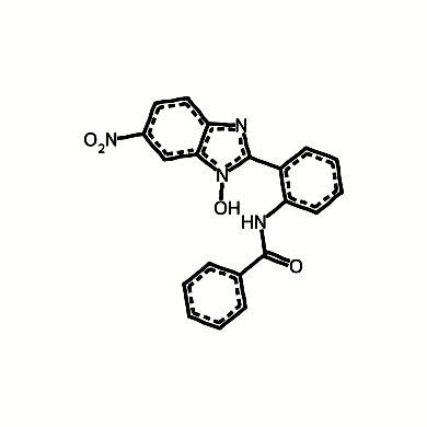 O=C(Nc1ccccc1-c1nc2ccc([N+](=O)[O-])cc2n1O)c1ccccc1